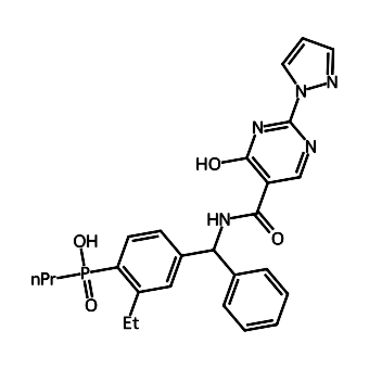 CCCP(=O)(O)c1ccc(C(NC(=O)c2cnc(-n3cccn3)nc2O)c2ccccc2)cc1CC